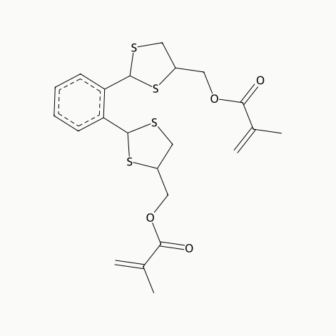 C=C(C)C(=O)OCC1CSC(c2ccccc2C2SCC(COC(=O)C(=C)C)S2)S1